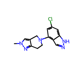 Cn1cc2c(n1)CCN(c1cc(Cl)cc3[nH]ncc13)C2